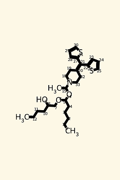 CCCCCC(OCC(O)CCCC)OC(C)N1CCC(=C(c2cccs2)c2cccs2)CC1